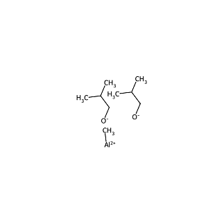 CC(C)C[O-].CC(C)C[O-].[CH3][Al+2]